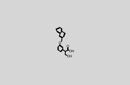 O=C(O)C(CO)c1cccc(OCc2ccc3ccccc3c2)c1